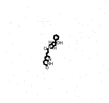 O=C1CCc2cc(/C=C/C(=O)N3C[C@@H]4CC(O)(c5ccccc5)C[C@@H]4C3)cnc2N1